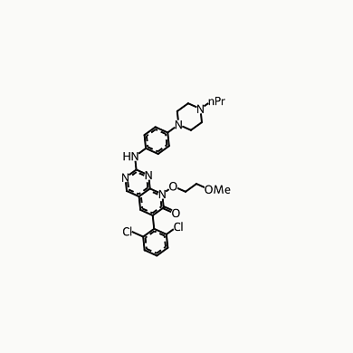 CCCN1CCN(c2ccc(Nc3ncc4cc(-c5c(Cl)cccc5Cl)c(=O)n(OCCOC)c4n3)cc2)CC1